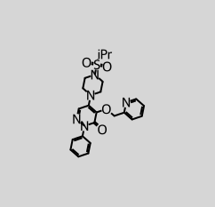 CC(C)S(=O)(=O)N1CCN(c2cnn(-c3ccccc3)c(=O)c2OCc2ccccn2)CC1